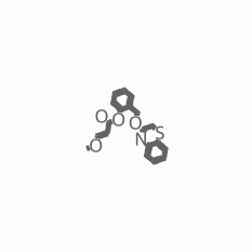 COC=CC(=O)Oc1ccccc1COC1=Nc2ccccc2SC1